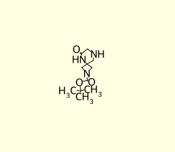 CC(C)(C)OC(=O)N1CC2(CNCC(=O)N2)C1